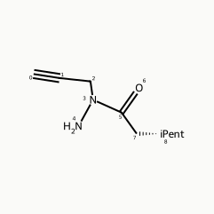 C#CCN(N)C(=O)C[C@@H](C)CCC